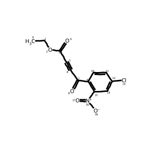 CCOC(=O)C#CC(=O)c1ccc(Cl)cc1[N+](=O)[O-]